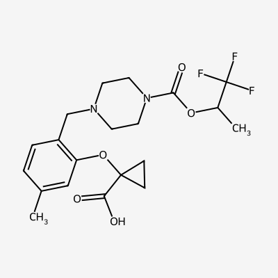 Cc1ccc(CN2CCN(C(=O)OC(C)C(F)(F)F)CC2)c(OC2(C(=O)O)CC2)c1